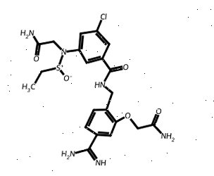 CC[S+]([O-])N(CC(N)=O)c1cc(Cl)cc(C(=O)NCc2ccc(C(=N)N)cc2OCC(N)=O)c1